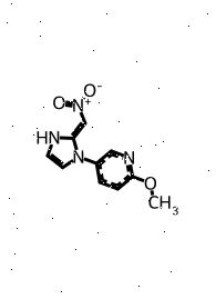 COc1ccc(N2C=CNC2=C[N+](=O)[O-])cn1